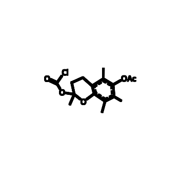 CC(=O)Oc1c(C)c(C)c2c(c1C)CCC(C)(OC(=O)Cl)O2